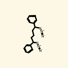 [N-]=[N+]=NC(CCCC(N=[N+]=[N-])c1ccccc1)c1ccccc1